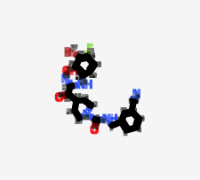 N#Cc1cccc(CNC(=O)N2CCC(C(=O)/C(=N/O)Nc3ccc(F)c(Br)c3)CC2)c1